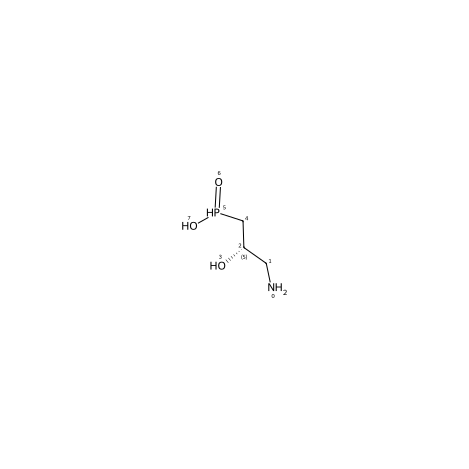 NC[C@H](O)C[PH](=O)O